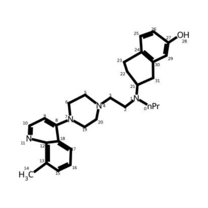 CCCN(CCN1CCN(c2ccnc3c(C)cccc23)CC1)C1CCc2ccc(O)cc2C1